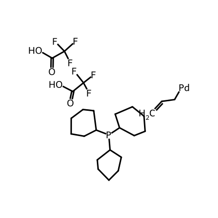 C1CCC(P(C2CCCCC2)C2CCCCC2)CC1.C=C[CH2][Pd].O=C(O)C(F)(F)F.O=C(O)C(F)(F)F